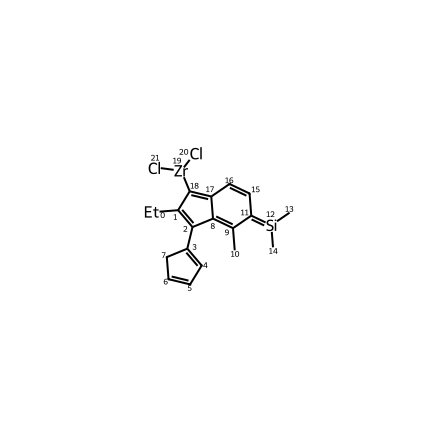 CCC1=C(C2=CC=CC2)c2c(C)c(=[Si](C)C)ccc2=[C]1[Zr]([Cl])[Cl]